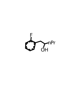 C[CH]CC(O)Cc1ccccc1F